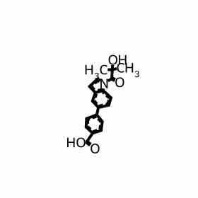 CC(C)(O)C(=O)n1ccc2cc(-c3ccc(C(=O)O)cc3)ccc21